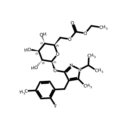 CCOC(=O)OC[C@H]1O[C@@H](Oc2nn(C(C)C)c(C)c2Cc2ccc(C)cc2F)[C@H](O)[C@@H](O)[C@@H]1O